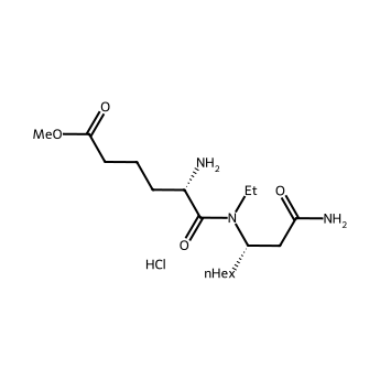 CCCCCC[C@@H](CC(N)=O)N(CC)C(=O)[C@@H](N)CCCC(=O)OC.Cl